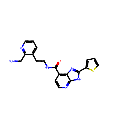 NCc1ncccc1CCNC(=O)c1ccnc2[nH]c(-c3cccs3)nc12